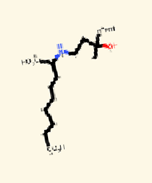 CCCCCC(C)(O)CCNC(CCCCCCC(=O)O)C(=O)O